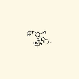 CC(C)Cc1cc(-c2ccc(Cn3ccnc3)cc2C#N)c(S(=O)(=O)NC(C)(C)C)s1